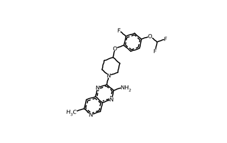 Cc1cc2nc(N3CCC(Oc4ccc(OC(F)F)cc4F)CC3)c(N)nc2cn1